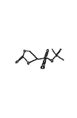 C[Si](C)(C)OS(=O)(=O)C1COC(=O)O1